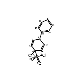 O=S(=O)(Cl)C1(Cl)C=CC(c2ccccc2)C=C1